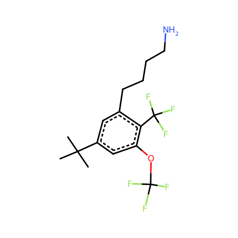 CC(C)(C)c1cc(CCCCN)c(C(F)(F)F)c(OC(F)(F)F)c1